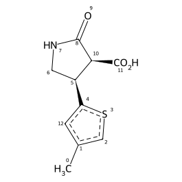 Cc1csc([C@H]2CNC(=O)[C@H]2C(=O)O)c1